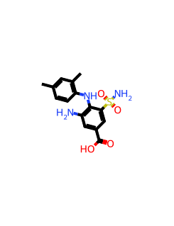 Cc1ccc(Nc2c(N)cc(C(=O)O)cc2S(N)(=O)=O)c(C)c1